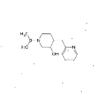 CB(O)N1CCC(Cc2ccccn2)C(O)C1